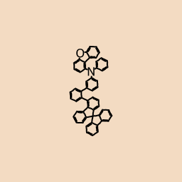 c1ccc(N(c2cccc(-c3ccccc3-c3cccc4c3-c3ccccc3C43c4ccccc4-c4ccccc43)c2)c2cccc3oc4ccccc4c23)cc1